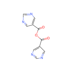 O=C(OC(=O)c1cncnc1)c1cncnc1